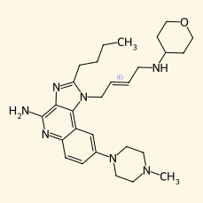 CCCCc1nc2c(N)nc3ccc(N4CCN(C)CC4)cc3c2n1C/C=C/CNC1CCOCC1